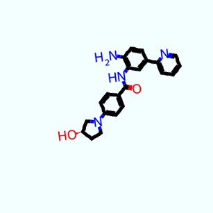 Nc1ccc(-c2ccccn2)cc1NC(=O)c1ccc(N2CC[C@H](O)C2)cc1